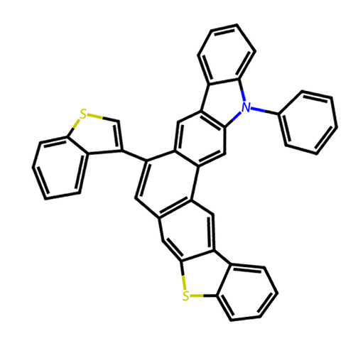 c1ccc(-n2c3ccccc3c3cc4c(-c5csc6ccccc56)cc5cc6sc7ccccc7c6cc5c4cc32)cc1